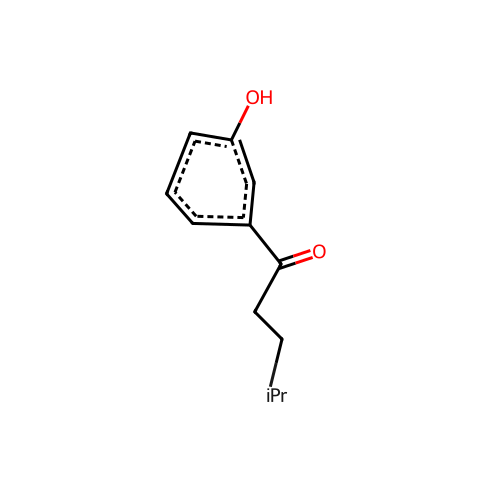 CC(C)CCC(=O)c1cccc(O)c1